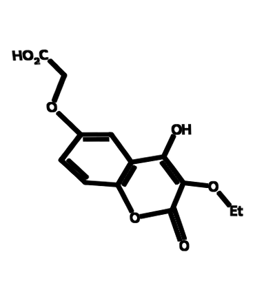 CCOc1c(O)c2cc(OCC(=O)O)ccc2oc1=O